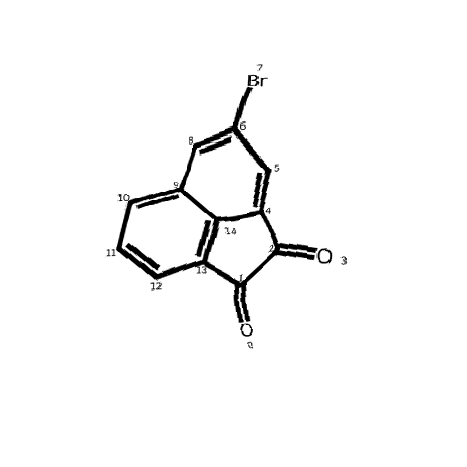 O=C1C(=O)c2cc(Br)cc3cccc1c23